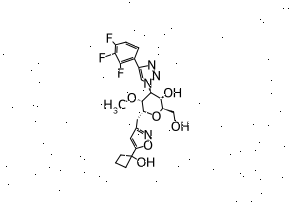 CO[C@@H]1[C@@H](n2cc(-c3ccc(F)c(F)c3F)nn2)[C@@H](O)[C@@H](CO)O[C@@H]1Cc1cc(C2(O)CCC2)on1